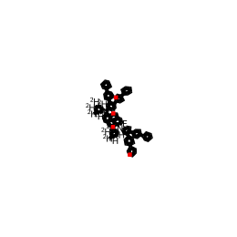 [2H]c1c([2H])c([2H])c(N(c2cc(-c3ccc(-c4ccccc4)cc3)c(-c3ccc(-c4ccccc4)cc3)cc2F)c2ccc3ccc4c(N(c5cc(-c6ccc(-c7ccccc7)cc6)c(-c6ccc(-c7ccccc7)cc6)cc5F)c5c([2H])c([2H])c([2H])c([2H])c5[2H])ccc5ccc2c3c54)c([2H])c1[2H]